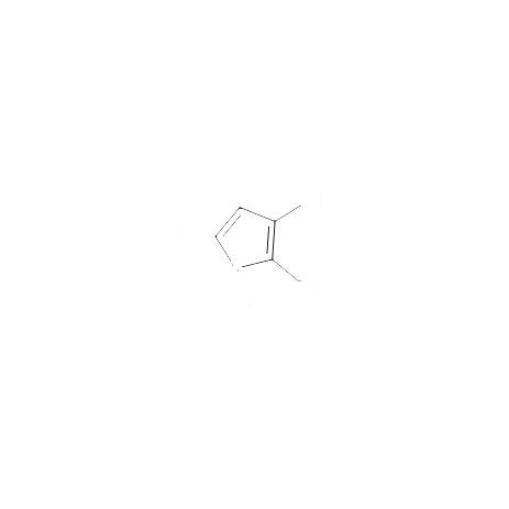 Cc1cc[nH][c]1[Ir+2].[Cl-].[Cl-]